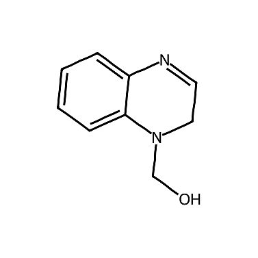 OCN1CC=Nc2ccccc21